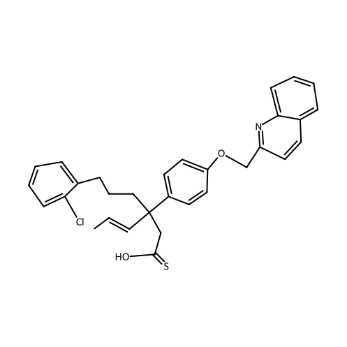 CC=CC(CCCc1ccccc1Cl)(CC(O)=S)c1ccc(OCc2ccc3ccccc3n2)cc1